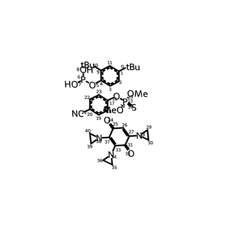 CC(C)(C)c1ccc(OP(O)O)c(C(C)(C)C)c1.COP(=S)(OC)Oc1ccc(C#N)cc1.O=C1C=C(N2CC2)C(=O)C(N2CC2)=C1N1CC1